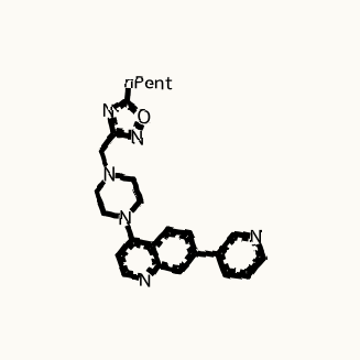 CCCCCc1nc(CN2CCN(c3ccnc4cc(-c5cccnc5)ccc34)CC2)no1